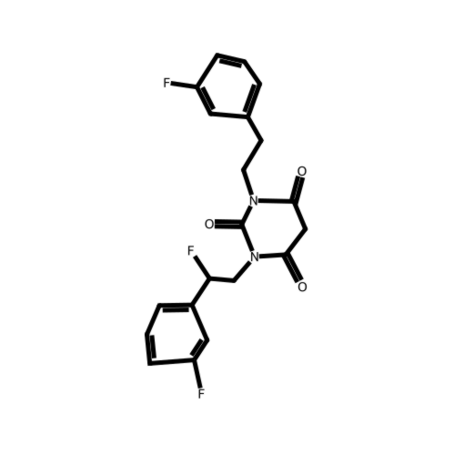 O=C1CC(=O)N(CC(F)c2cccc(F)c2)C(=O)N1CCc1cccc(F)c1